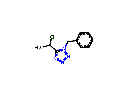 CC(Cl)c1nnnn1Cc1ccccc1